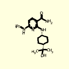 CC(C)Nc1ccc(C(N)=O)c(N[C@H]2CC[C@@H](C(C)(C)O)CC2)n1